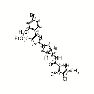 CCOC(=O)c1sc(N2C[C@@H]3[C@H](C2)[C@@H]3NC(=O)c2[nH]c(C)c(Cl)c2Cl)nc1-c1ccc(Br)cc1C